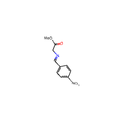 COC(=O)CN=Cc1ccc([N+](=O)[O-])cc1